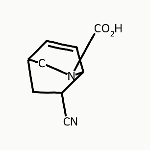 N#CC1CC2C=CC1N(C(=O)O)C2